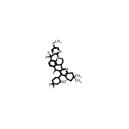 CSc1cnc(N2CCC(c3nc4c(c(C5CCC(F)(F)CC5)c3C(F)c3ccc(C(F)(F)F)cc3)[C@@H](O)CC(C)(C)C4)CC2)nc1